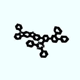 c1ccc(-c2nc(-c3ccccc3)nc(-c3cc(-c4ccc(-c5ccccc5)c(-c5ccccc5)c4)ccc3-c3ccc4c(c3)sc3cc5c(cc34)c3ccccc3n5-c3ccccc3)n2)cc1